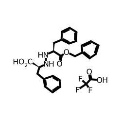 O=C(O)C(F)(F)F.O=C(O)[C@H](Cc1ccccc1)NN[C@@H](Cc1ccccc1)C(=O)OCc1ccccc1